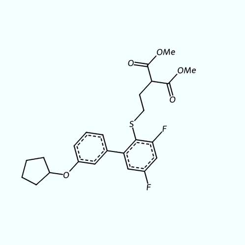 COC(=O)C(CCSc1c(F)cc(F)cc1-c1cccc(OC2CCCC2)c1)C(=O)OC